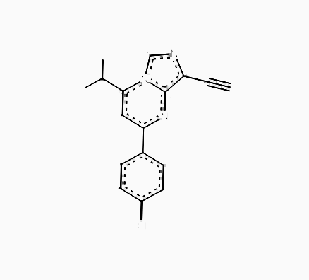 C#Cc1ncn2c(C(F)F)cc(-c3ccc(C(F)(F)F)cc3)nc12